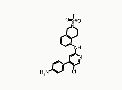 CS(=O)(=O)N1CCc2c(cccc2Nc2cc(-c3ccc(N)cc3)c(Cl)cn2)C1